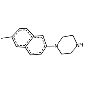 Cc1ccc2cc(N3CCNCC3)ccc2c1